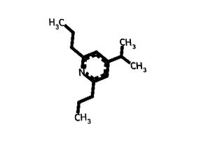 CCCc1cc(C(C)C)cc(CCC)n1